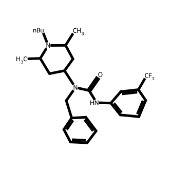 CCCCN1C(C)CC(N(Cc2ccccc2)C(=O)Nc2cccc(C(F)(F)F)c2)CC1C